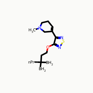 BC(B)(CCC)CCOc1nsnc1C1=CCCN(C)C1